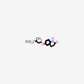 CCOC(=O)C(C)CCOc1ccc2c(c1)CCC(=O)N2